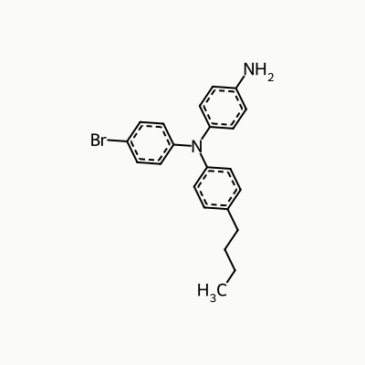 CCCCc1ccc(N(c2ccc(N)cc2)c2ccc(Br)cc2)cc1